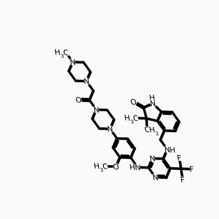 COc1cc(N2CCN(C(=O)CN3CCN(C)CC3)CC2)ccc1Nc1ncc(C(F)(F)F)c(NCc2cccc3c2C(C)(C)C(=O)N3)n1